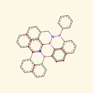 c1ccc(P(c2ccccc2)N(Cc2ccccc2CN(P(c2ccccc2)c2ccccc2)P(c2ccccc2)c2ccccc2)P(c2ccccc2)c2ccccc2)cc1